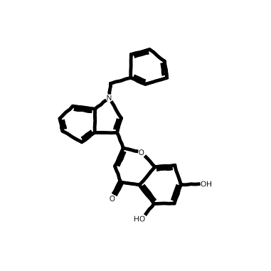 O=c1cc(-c2cn(Cc3ccccc3)c3ccccc23)oc2cc(O)cc(O)c12